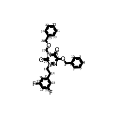 O=c1c(OCc2ccccc2)nn(CCc2cc(F)cc(F)c2)c(=O)n1COCc1ccccc1